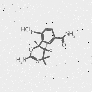 CC1(C)N=C(N)O[C@](C)(c2cc(C(N)=O)ccc2F)C1(F)F.Cl